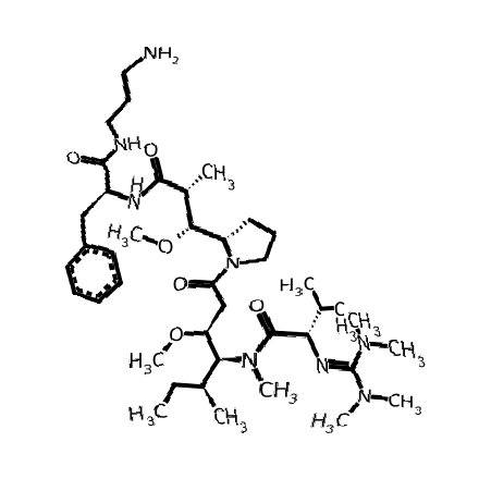 CC[C@H](C)[C@@H]([C@H](CC(=O)N1CCC[C@H]1[C@H](OC)[C@@H](C)C(=O)N[C@@H](Cc1ccccc1)C(=O)NCCCN)OC)N(C)C(=O)[C@@H](N=C(N(C)C)N(C)C)C(C)C